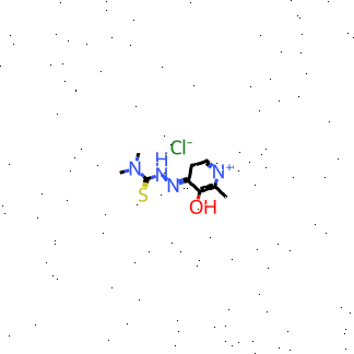 CC1=C(O)C(=NNC(=S)N(C)C)CC=[N+]1C.[Cl-]